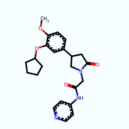 COc1ccc(C2CC(=O)N(CC(=O)Nc3ccncc3)C2)cc1OC1CCCC1